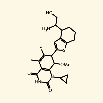 COC1c2c(c(=O)[nH]c(=O)n2C2CC2)C(C)=C(F)C1c1cc2c(s1)CCCC2C(N)CO